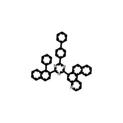 c1ccc(-c2ccc(-c3nc(-c4ccc5ccccc5c4-c4ccccc4)nc(-c4cc5ncccc5c5c4ccc4ccccc45)n3)cc2)cc1